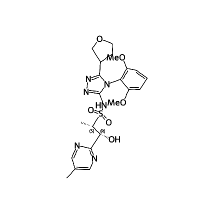 COc1cccc(OC)c1-n1c(NS(=O)(=O)[C@@H](C)[C@H](O)c2ncc(C)cn2)nnc1C1CCOC1